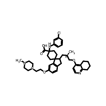 C[C@@H](COc1ccnc2c1CCCC2)CC1Cc2ccc(OCCN3CCN(C)CC3)cc2C12CCC(Nc1cccc(Cl)c1)(C(=O)O)CC2